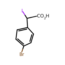 O=C(O)C(I)c1ccc(Br)cc1